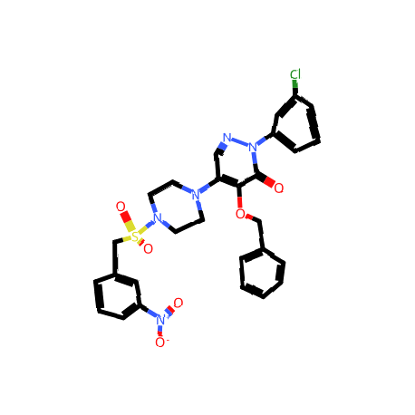 O=c1c(OCc2ccccc2)c(N2CCN(S(=O)(=O)Cc3cccc([N+](=O)[O-])c3)CC2)cnn1-c1cccc(Cl)c1